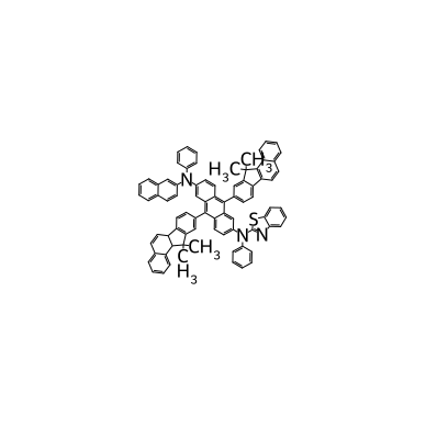 CC1(C)c2cc(-c3c4ccc(N(c5ccccc5)c5ccc6ccccc6c5)cc4c(-c4ccc5c(c4)C(C)(C)C4c6ccccc6C=CC54)c4ccc(N(c5ccccc5)c5nc6ccccc6s5)cc34)ccc2-c2ccc3ccccc3c21